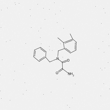 Cc1cccc(CN(Cc2ccccc2)C(=O)C(N)=O)c1C